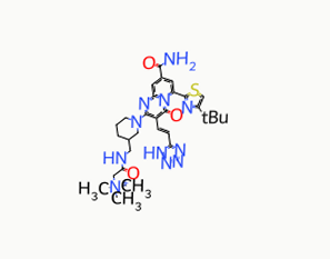 CC(C)(C)c1csc(-c2cc(C(N)=O)cc3nc(N4CCCC(CNC(=O)C[N+](C)(C)C)C4)c(C=Cc4nnn[nH]4)c(=O)n23)n1